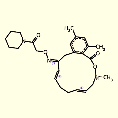 Cc1cc(C)c2c(c1)CC(=N\OCC(=O)N1CCCCC1)/C=C/CC/C=C/C[C@@H](C)OC2=O